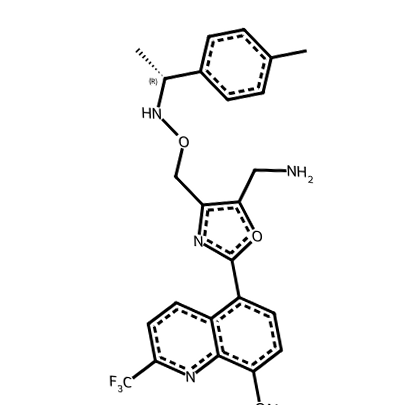 COc1ccc(-c2nc(CON[C@H](C)c3ccc(C)cc3)c(CN)o2)c2ccc(C(F)(F)F)nc12